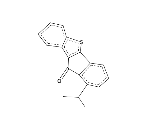 CC(C)c1cccc2c1C(=O)c1c-2sc2ccccc12